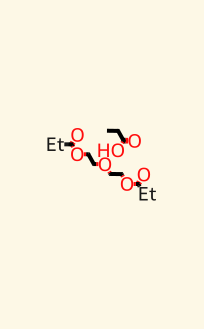 CCC(=O)O.CCC(=O)OCCOCCOC(=O)CC